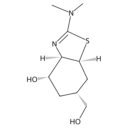 CN(C)C1=N[C@H]2[C@H](C[C@H](CO)C[C@@H]2O)S1